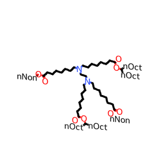 CCCCCCCCCOC(=O)CCCCCCCN(CCCCCCCC(=O)OC(CCCCCCCC)CCCCCCCC)CCN(CCCCCCCC(=O)OCCCCCCCCC)CCCCCCCC(=O)OC(CCCCCCCC)CCCCCCCC